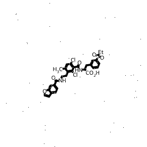 CCS(=O)(=O)c1cccc(CC(NC(=O)c2c(Cl)cc(C)c(CCNC(=O)c3ccc4ccoc4c3)c2Cl)C(=O)O)c1